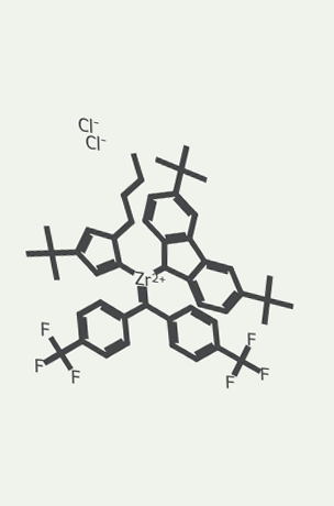 CCCCC1C=C(C(C)(C)C)C=[C]1[Zr+2](=[C](c1ccc(C(F)(F)F)cc1)c1ccc(C(F)(F)F)cc1)[CH]1c2ccc(C(C)(C)C)cc2-c2cc(C(C)(C)C)ccc21.[Cl-].[Cl-]